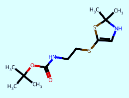 CC(C)(C)OC(=O)NCCSC1=CNC(C)(C)S1